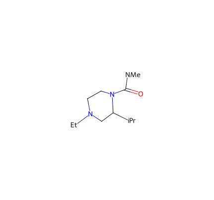 CCN1CCN(C(=O)NC)C(C(C)C)C1